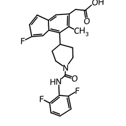 Cc1c(CC(=O)O)cc2ccc(F)cc2c1C1CCN(C(=O)Nc2c(F)cccc2F)CC1